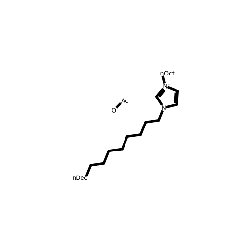 CC(=O)[O-].CCCCCCCCCCCCCCCCCCn1cc[n+](CCCCCCCC)c1